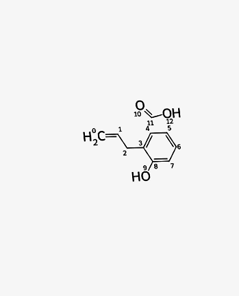 C=CCc1ccccc1O.O=CO